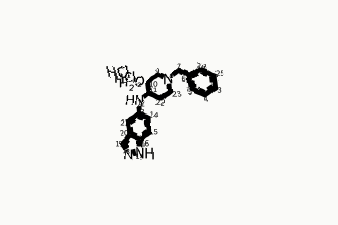 Cl.Cl.O.c1ccc(CN2CCC(Nc3ccc4[nH]ncc4c3)CC2)cc1